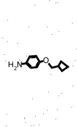 Nc1ccc(OCC2CCC2)cc1